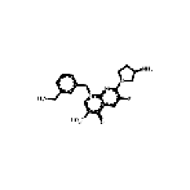 NCc1cccc(Cn2cc(C(=O)O)c(=O)c3cc(F)c(N4CCC(N)C4)nc32)c1